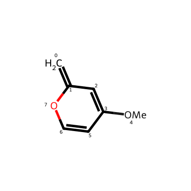 C=C1C=C(OC)C=CO1